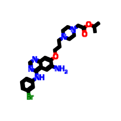 CC(C)OC(=O)CN1CCN(CCCOc2cc3ncnc(Nc4cccc(Br)c4)c3cc2N)CC1